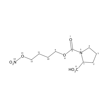 O=C(O)C1CCCN1C(=O)OCCCCO[N+](=O)[O-]